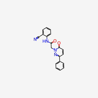 N#Cc1ccccc1NC(=O)Cn1nc(-c2ccccc2)ccc1=O